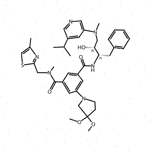 COC1(OC)CCN(c2cc(C(=O)N[C@@H](Cc3ccccc3)[C@H](O)CN(C)c3cncc(C(C)C)c3)cc(C(=O)N(C)Cc3nc(C)cs3)c2)C1